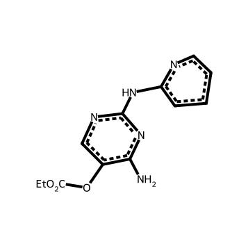 CCOC(=O)Oc1cnc(Nc2ccccn2)nc1N